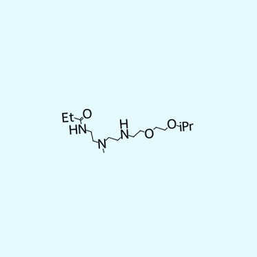 CCC(=O)NCCN(C)CCNCCOCCOC(C)C